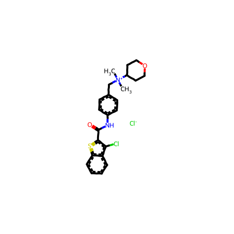 C[N+](C)(Cc1ccc(NC(=O)c2sc3ccccc3c2Cl)cc1)C1CCOCC1.[Cl-]